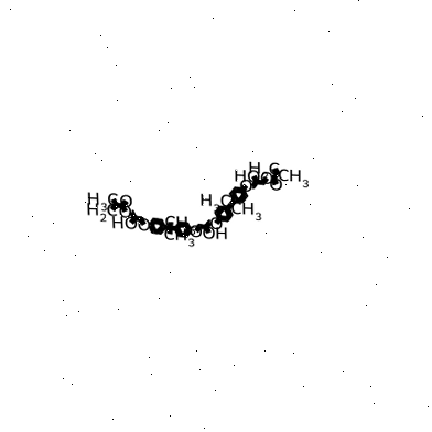 C=C(C)C(=O)OCC(O)COc1ccc(C(C)(C)c2ccc(OCC(O)COc3ccc(C(C)(C)c4ccc(OCC(O)COC(=O)C(=C)C)cc4)cc3)cc2)cc1